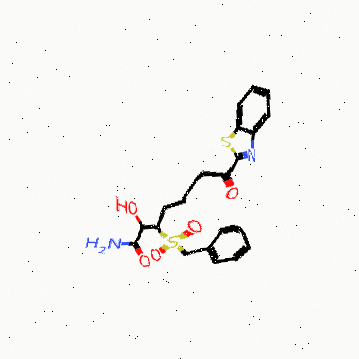 NC(=O)C(O)C(CCCC(=O)c1nc2ccccc2s1)S(=O)(=O)Cc1ccccc1